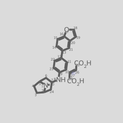 CN1C2CCC1CC(Nc1ccc(-c3ccc4occc4c3)cc1)C2.O=C(O)/C=C/C(=O)O